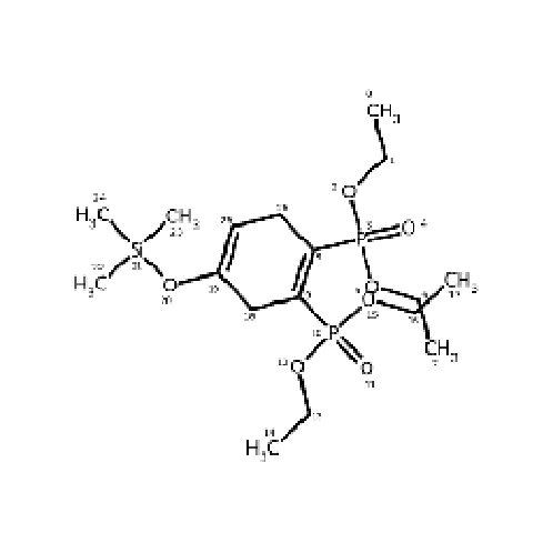 CCOP(=O)(OCC)C1=C(P(=O)(OCC)OCC)CC(O[Si](C)(C)C)=CC1